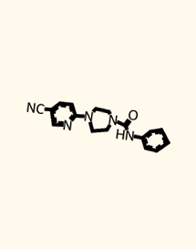 N#Cc1ccc(N2CCN(C(=O)Nc3ccccc3)CC2)nc1